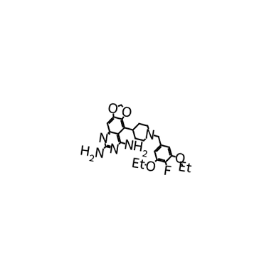 CCOc1cc(CN2CCC(c3c4c(cc5nc(N)nc(N)c35)OCO4)CC2)cc(OCC)c1F